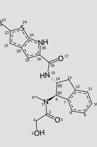 CN(C(=O)CO)[C@@H]1c2ccccc2C[C@H]1NC(=O)c1cc2cc(Cl)sc2[nH]1